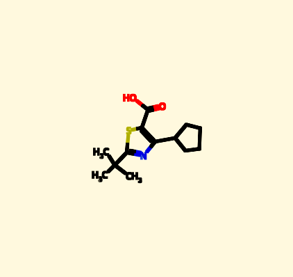 CC(C)(C)c1nc(C2CCCC2)c(C(=O)O)s1